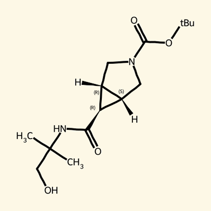 CC(C)(CO)NC(=O)[C@H]1[C@@H]2CN(C(=O)OC(C)(C)C)C[C@@H]21